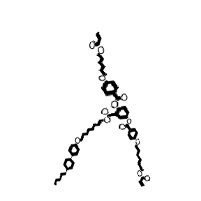 C=CC(=O)OCCCCCCOc1ccc(C(=O)Oc2ccc(OC(=O)c3ccc(OCCCCCCOC(=O)C=C)cc3)c(C(=O)OCCCCCCCCOc3ccc([C@H]4CC[C@H](CCCCC)CC4)cc3)c2)cc1